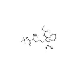 CCC(=O)Oc1c(CCCC(N)C(=O)OC(C)(C)C)n(C(=O)OC)c2ccccc12